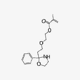 C=C(C)C(=O)OCCOCCC1(c2ccccc2)NCCO1